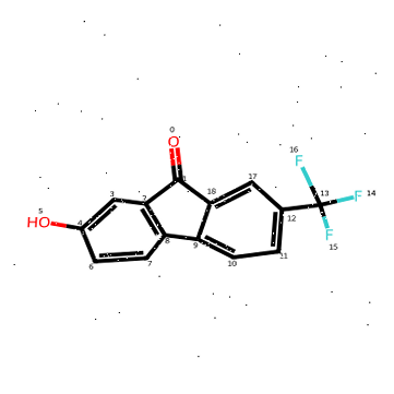 O=C1c2cc(O)ccc2-c2ccc(C(F)(F)F)cc21